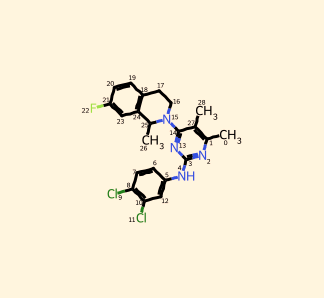 Cc1nc(Nc2ccc(Cl)c(Cl)c2)nc(N2CCc3ccc(F)cc3C2C)c1C